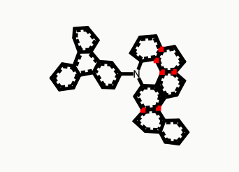 c1ccc(-c2ccccc2N(c2ccc3c4ccccc4c4ccccc4c3c2)c2ccccc2-c2cccc(-c3cccc4ccccc34)c2)cc1